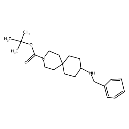 CC(C)(C)OC(=O)N1CCC2(CCC(NCc3ccccc3)CC2)CC1